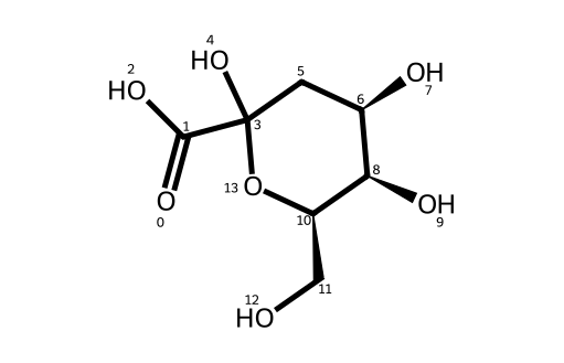 O=C(O)C1(O)C[C@@H](O)[C@@H](O)[C@@H](CO)O1